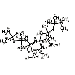 C=C(C)C(C)(N)CC(C)(CC)NP1(NC(C)CCC)=NP(C)(NI)=NP(N)(NC(C)(CC)CC(C)(N)CC)=N1